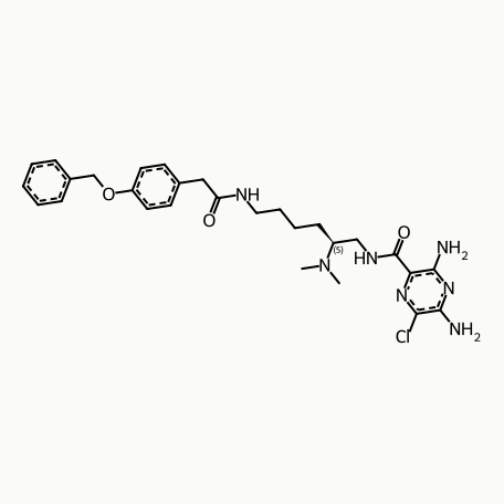 CN(C)[C@@H](CCCCNC(=O)Cc1ccc(OCc2ccccc2)cc1)CNC(=O)c1nc(Cl)c(N)nc1N